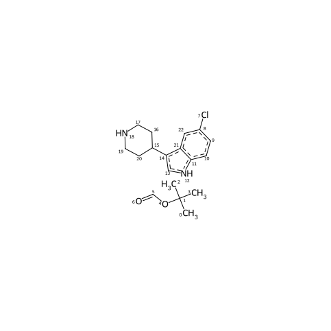 CC(C)(C)OC=O.Clc1ccc2[nH]cc(C3CCNCC3)c2c1